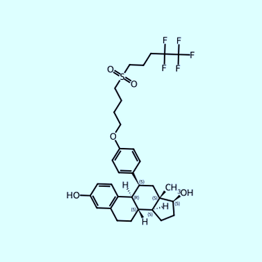 C[C@]12C[C@H](c3ccc(OCCCCS(=O)(=O)CCCC(F)(F)C(F)(F)F)cc3)[C@@H]3c4ccc(O)cc4CC[C@H]3[C@@H]1CC[C@@H]2O